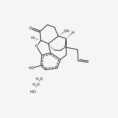 C=CCN1CC[C@]23c4c5ccc(O)c4O[C@H]2C(=O)CC[C@@]3(O)[C@H]1C5.Cl.O.O